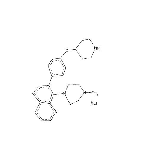 CN1CCN(c2c(-c3ccc(OC4CCNCC4)cc3)ccc3cccnc23)CC1.Cl